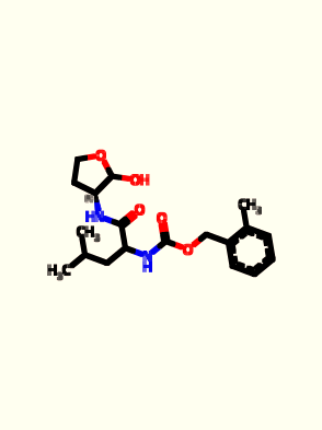 Cc1ccccc1COC(=O)NC(CC(C)C)C(=O)N[C@H]1CCOC1O